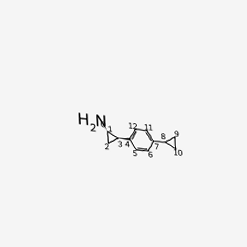 N[C@H]1C[C@@H]1c1ccc(C2CC2)cc1